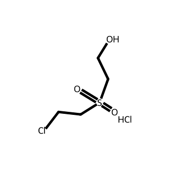 Cl.O=S(=O)(CCO)CCCl